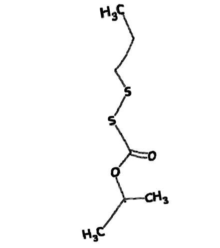 CCCSSC(=O)O[C](C)C